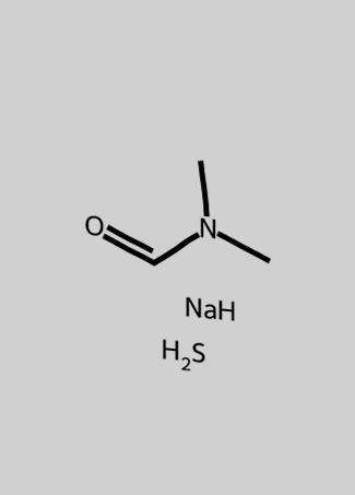 CN(C)C=O.S.[NaH]